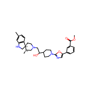 COC(=O)c1cccc(-c2cnc(N3CCC(C(O)CN4CC[C@]5(CNc6cc(C)ccc65)[C@H](C)C4)CC3)o2)c1